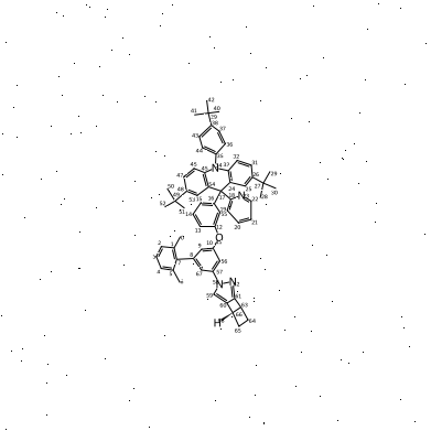 Cc1cccc(C)c1-c1cc(Oc2cccc(C3(c4ccccn4)c4cc(C(C)(C)C)ccc4N(c4ccc(C(C)(C)C)cc4)c4ccc(C(C)(C)C)cc43)c2)cc(-n2cc3c(n2)C2CC[C@H]32)c1